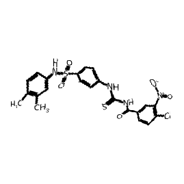 Cc1ccc(NS(=O)(=O)c2ccc(NC(=S)NC(=O)c3ccc(Cl)c([N+](=O)[O-])c3)cc2)cc1C